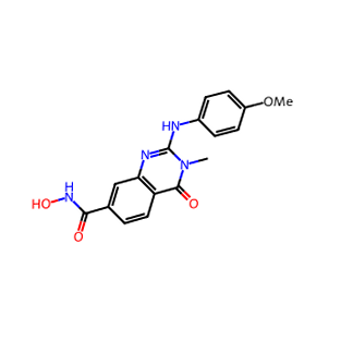 COc1ccc(Nc2nc3cc(C(=O)NO)ccc3c(=O)n2C)cc1